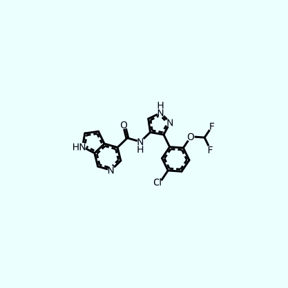 O=C(Nc1c[nH]nc1-c1cc(Cl)ccc1OC(F)F)c1cncc2[nH]ccc12